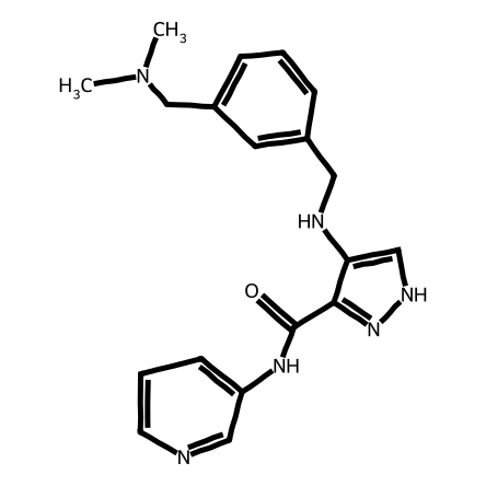 CN(C)Cc1cccc(CNc2c[nH]nc2C(=O)Nc2cccnc2)c1